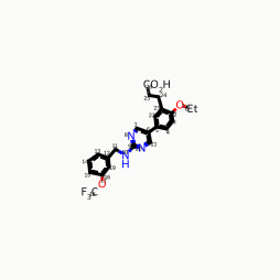 CCOc1ccc(-c2cnc(NCc3cccc(OC(F)(F)F)c3)nc2)cc1CCC(=O)O